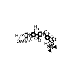 CCOc1c(C(=O)NS(=O)(=O)N(C2CC2)C2CC2)ccc(C(=O)N2CCc3c(c(=O)oc4c(C)c(N5CCN(C)[C@@H](COC)C5)cc(C)c34)C2)c1F